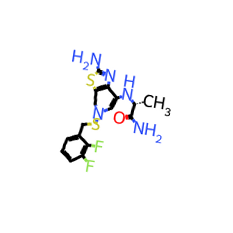 C[C@@H](NC1=CN(SCc2cccc(F)c2F)Cc2sc(N)nc21)C(N)=O